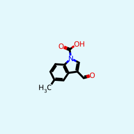 Cc1ccc2c(c1)c(C=O)cn2C(=O)O